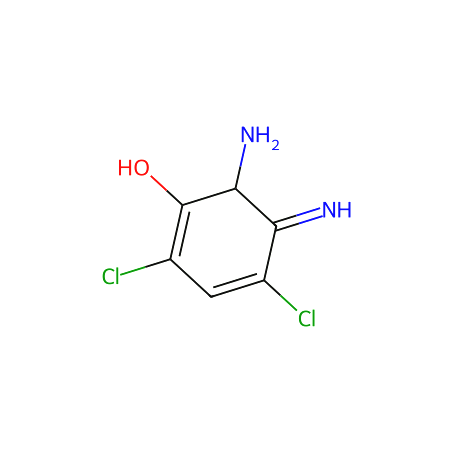 N=C1C(Cl)=CC(Cl)=C(O)C1N